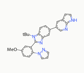 COc1ccc(-n2cccn2)c(-c2nc3cc(-c4cnc5[nH]ccc5c4)ccc3n2C(C)(C)C)c1